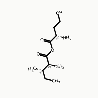 CC[C@H](C)[C@H](N)C(=O)OC(=O)[C@@H](N)CCO